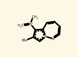 C=[N+](C)c1c(C(C)(C)C)cn2c1C=CC=C=N2